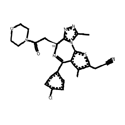 Cc1c(CC#N)sc2c1C(c1ccc(Cl)cc1)=N[C@@H](CC(=O)N1CCOCC1)c1nnc(C)n1-2